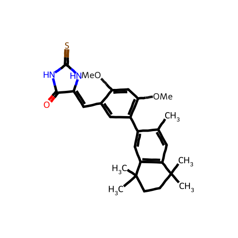 COc1cc(OC)c(-c2cc3c(cc2C)C(C)(C)CCC3(C)C)cc1/C=C1\NC(=S)NC1=O